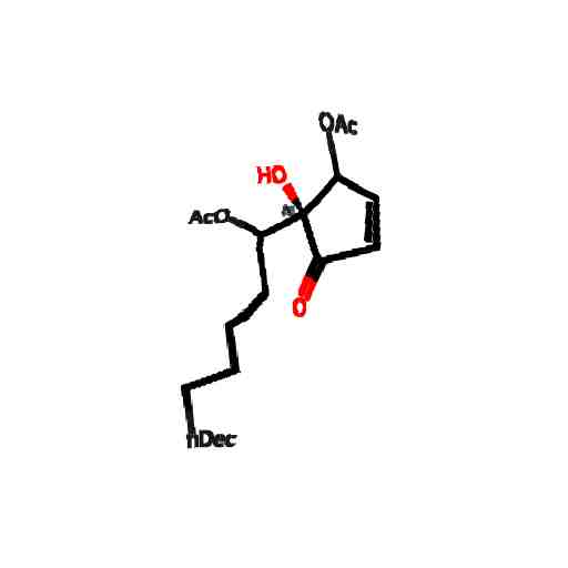 CCCCCCCCCCCCCCC(OC(C)=O)[C@@]1(O)C(=O)C=CC1OC(C)=O